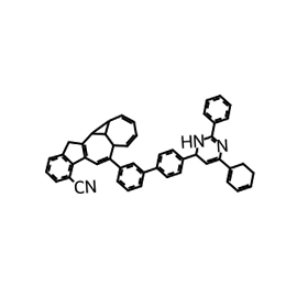 N#Cc1cccc2c1C1=C(C2)C2C3C=CC=CC(C(c4cccc(-c5ccc(C6C=C(C7=CC=CCC7)N=C(c7ccccc7)N6)cc5)c4)=C1)C32